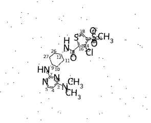 CN(C)c1ccnc(N[C@H]2CC[C@@H](NC(=O)c3scc(S(C)(=O)=O)c3Cl)CC2)n1